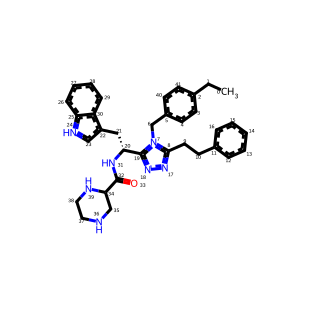 CCc1ccc(Cn2c(CCc3ccccc3)nnc2[C@@H](Cc2c[nH]c3ccccc23)NC(=O)C2CNCCN2)cc1